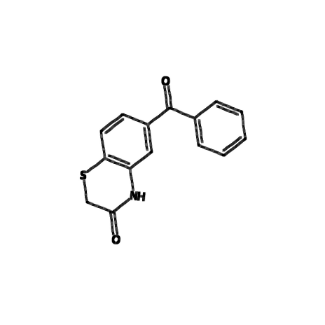 O=C1CSc2ccc(C(=O)c3ccccc3)cc2N1